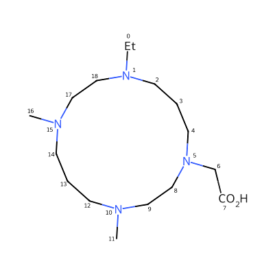 CCN1CCCN(CC(=O)O)CCN(C)CCCN(C)CC1